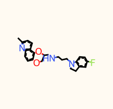 Cc1ccc2c3c(ccc2n1)OCC(CNCCCN1CCc2cc(F)ccc21)O3